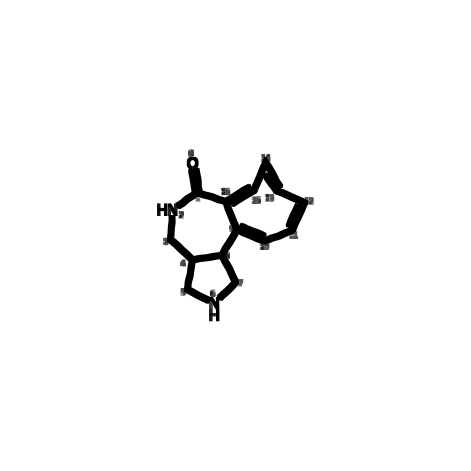 O=C1NCC2CNCC2/C2=C/C=C\C=C\C=C/12